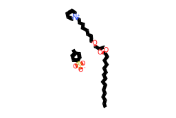 CCCCCCCCCCCCCCCC1OCC(COCCCCCCCC[n+]2ccccc2)O1.Cc1ccc(S(=O)(=O)[O-])cc1